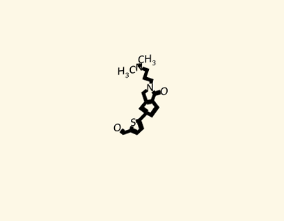 CN(C)CCCN1Cc2cc(-c3ccc(C=O)s3)ccc2C1=O